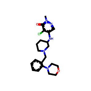 Cn1ncc(NC2CCCN(Cc3ccccc3N3CCOCC3)C2)c(Cl)c1=O